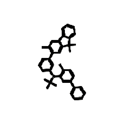 Cc1cc2c(cc1-c1cccc(N(c3cc(-c4ccccc4)ccc3C)C(C)(C)C)c1)C(C)(C)c1ccccc1-2